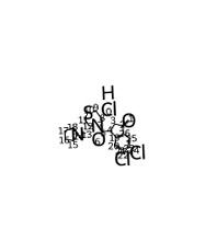 Cl.O=C1C[C@H](C(=O)N2CCSC[C@H]2CN2CCCC2)c2cc(Cl)c(Cl)cc21